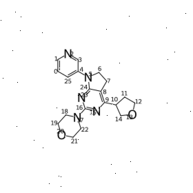 c1cncc(N2CCc3c(C4CCOC4)nc(N4CCOCC4)nc32)c1